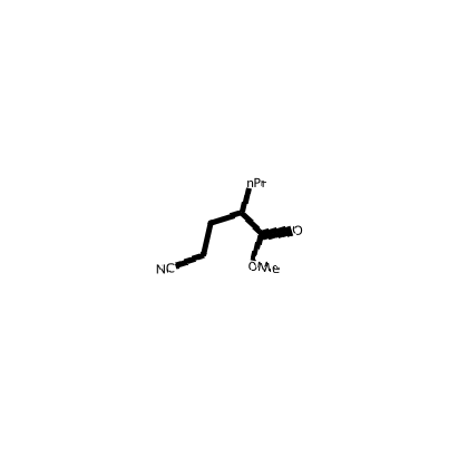 CCCC(CCC#N)C(=O)OC